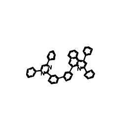 c1ccc(-c2cc(-c3ccccc3)nc(-c3cccc(-c4cccc(-c5cc6ccccc6c6c(-c7ccccc7)cc(-c7ccccc7)nc56)c4)c3)n2)cc1